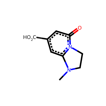 CN1CCn2c1cc(C(=O)O)cc2=O